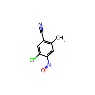 Cc1cc(N=O)c(Cl)cc1C#N